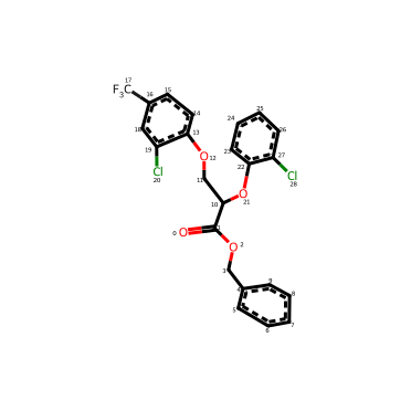 O=C(OCc1ccccc1)C(COc1ccc(C(F)(F)F)cc1Cl)Oc1ccccc1Cl